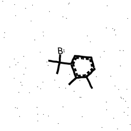 [B]C(C)(C)c1cccc(C)c1C